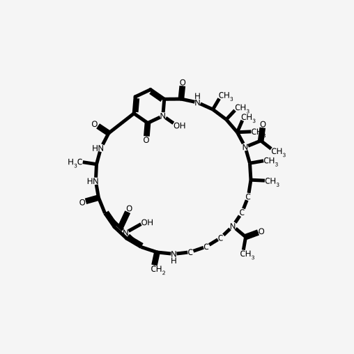 C=C1NCCCN(C(C)=O)CCC(C)C(C)N(C(C)=O)C(C)(C)C(C)C(C)NC(=O)c2ccc(c(=O)n2O)C(=O)NC(C)NC(=O)c2ccc1n(O)c2=O